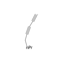 [C]#CC#CCCC[CH2]